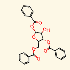 O=C(OC[C@H]1O[C@@H](OC(=O)c2ccccc2)C(O)[C@@H]1OC(=O)c1ccccc1)c1ccccc1